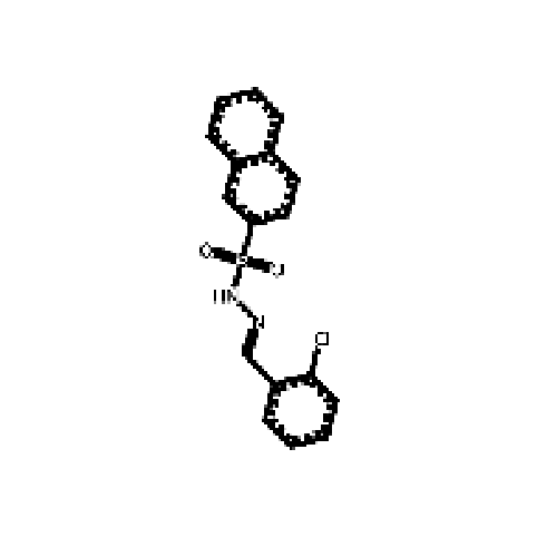 O=S(=O)(N/N=C/c1ccccc1Cl)c1ccc2ccccc2c1